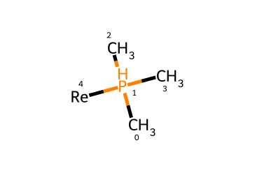 C[PH](C)(C)[Re]